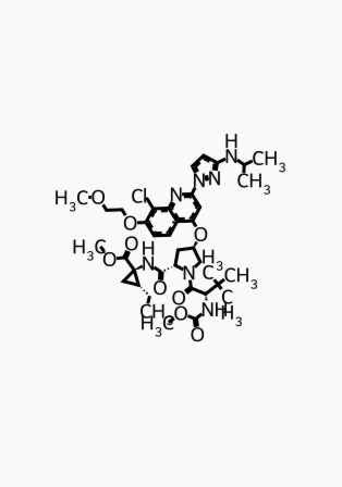 CC[C@@H]1C[C@]1(NC(=O)[C@@H]1C[C@@H](Oc2cc(-n3ccc(NC(C)C)n3)nc3c(Cl)c(OCCOC)ccc23)CN1C(=O)[C@@H](NC(=O)OC)C(C)(C)C)C(=O)OC